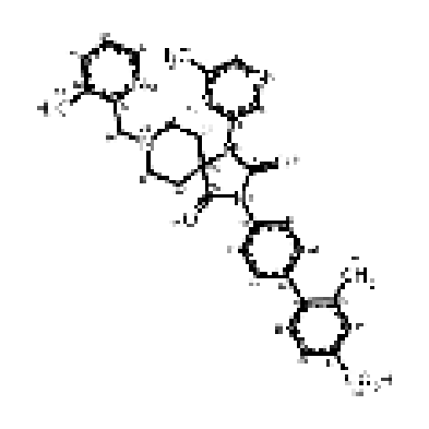 Cc1cncc(N2C(=O)N(c3ccc(-c4ccc(C(=O)O)cc4C)cc3)C(=O)C23CCN(Cc2ncccc2C)CC3)n1